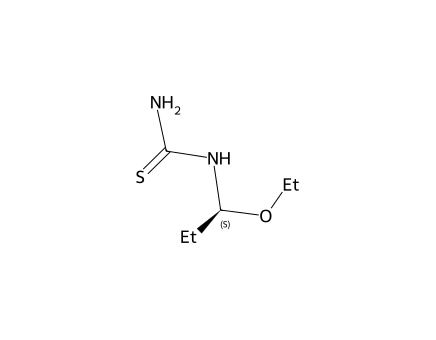 CCO[C@@H](CC)NC(N)=S